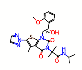 COc1ccccc1[C@H](O)Cn1c(=O)n(C(C)(C)C(=O)NC(C)C)c(=O)c2c(C)c(-n3nccn3)sc21